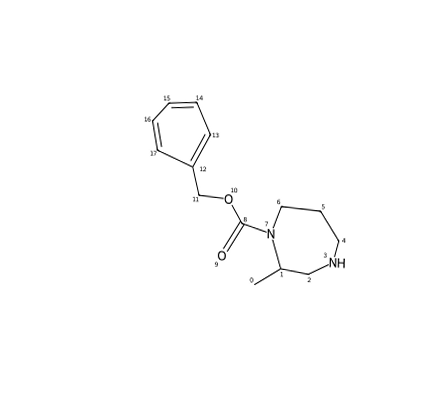 CC1CNCCCN1C(=O)OCc1ccccc1